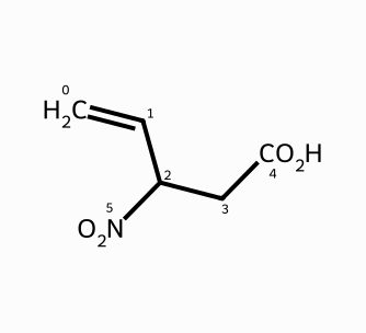 C=CC(CC(=O)O)[N+](=O)[O-]